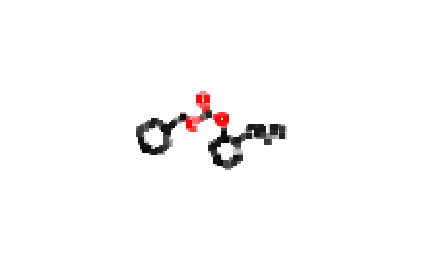 CCOC(=O)c1ccccc1OC(=O)O[CH]c1ccccc1